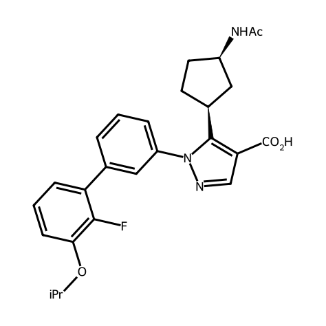 CC(=O)N[C@@H]1CC[C@H](c2c(C(=O)O)cnn2-c2cccc(-c3cccc(OC(C)C)c3F)c2)C1